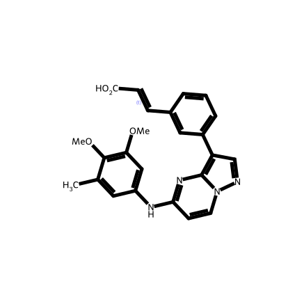 COc1cc(Nc2ccn3ncc(-c4cccc(/C=C/C(=O)O)c4)c3n2)cc(C)c1OC